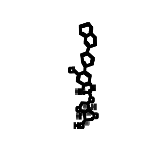 O[C@@H]1CO[C@H]2[C@@H]1OC[C@H]2Oc1nc2cc(-c3ccc(-c4ccc5ccccc5c4)cc3)c(Cl)cc2[nH]1